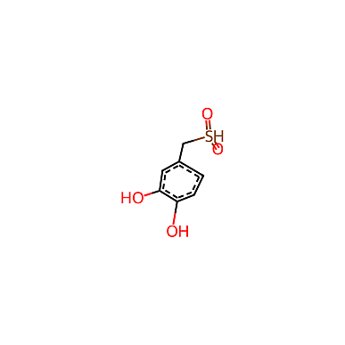 O=[SH](=O)Cc1ccc(O)c(O)c1